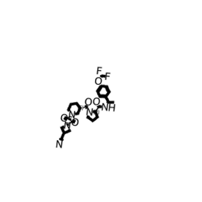 CC(NC(=O)[C@H]1CCCN1C(=O)[C@H]1CCCN(S(=O)(=O)N2CC(C#N)C2)C1)c1ccc(OC(F)F)cc1